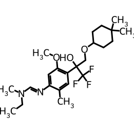 CCN(C)C=Nc1cc(OC)c(C(O)(COC2CCC(C)(C)CC2)C(F)(F)F)cc1C